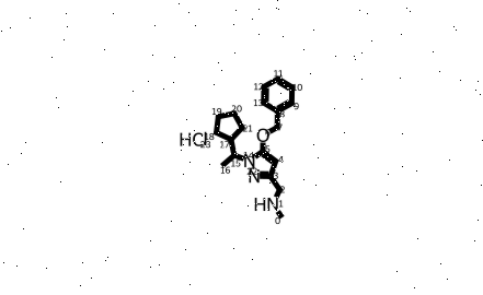 CNCc1cc(OCc2ccccc2)n(C(C)C2CCCC2)n1.Cl